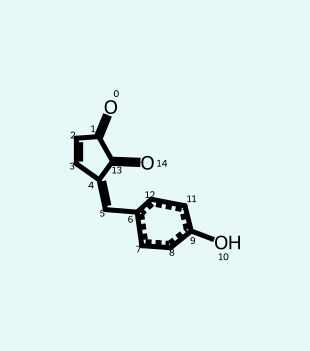 O=C1C=CC(=Cc2ccc(O)cc2)C1=O